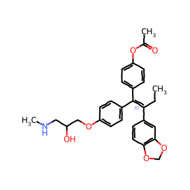 CC/C(=C(/c1ccc(OCC(O)CNC)cc1)c1ccc(OC(C)=O)cc1)c1ccc2c(c1)OCO2